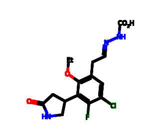 CCOc1c(CC=NNC(=O)O)cc(Cl)c(F)c1C1CNC(=O)C1